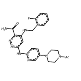 CC(=O)N1CCN(c2ccc(Nc3cc(NCc4ccccc4F)c(C(N)=O)nn3)nc2)CC1